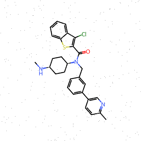 CN[C@H]1CC[C@@H](N(Cc2cccc(-c3ccc(C)nc3)c2)C(=O)c2sc3ccccc3c2Cl)CC1